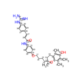 Cc1c(C)c2c(c(C)c1O)CCC(C)(CCCCOc1ccc(NC(=O)C=Cc3ccc(NC(=N)N)cc3)cc1)O2